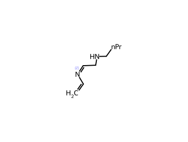 C=C/N=C\CNCCCC